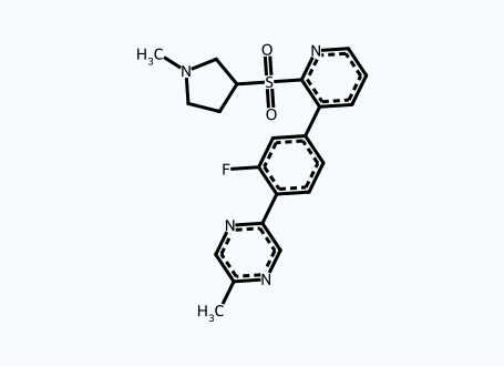 Cc1cnc(-c2ccc(-c3cccnc3S(=O)(=O)C3CCN(C)C3)cc2F)cn1